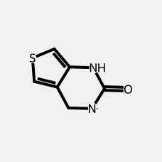 O=C1[N]Cc2cscc2N1